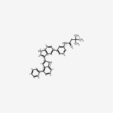 CC(C)(C)CC(=O)Nc1cncc(-c2cnc3[nH]nc(-c4cc5c(-c6ccccn6)cncc5[nH]4)c3c2)c1